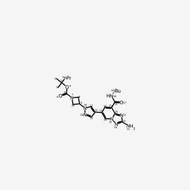 CCCC(C)(C)OC(=O)N1CC(n2cc(-c3cc(C(=O)N[C@@H](C)CC)c4nc(N)nn4c3)cn2)C1